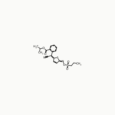 CCCS(=O)(=O)O/N=C1C=C/C(=C(\C#N)c2ccccc2C(=O)OC(C)C)S\1